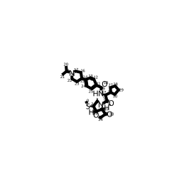 CS[C@H]1CN(C(=O)[C@@H](NC(=O)c2ccc(C3CCN(C(C)C)CC3)cc2)C2CCCC2)[C@@H]2C(=O)CO[C@H]12